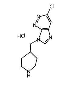 Cl.Clc1cc2ncn(CC3CCNCC3)c2nn1